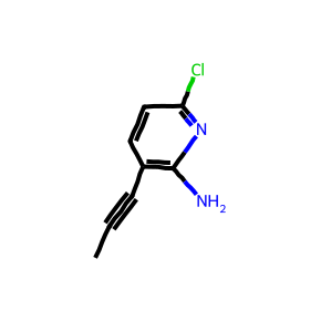 CC#Cc1ccc(Cl)nc1N